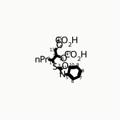 CCCC(Sc1nc2ccccc2o1)C(COC(=O)O)OC(=O)O